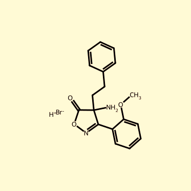 COc1ccccc1C1=NOC(=O)C1(N)CCc1ccccc1.[Br-].[H+]